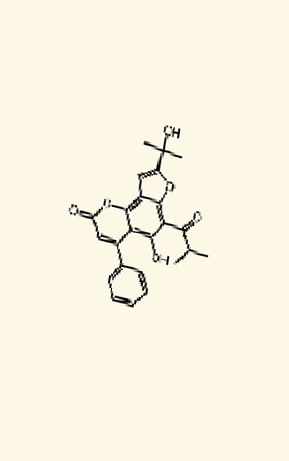 CC(C)C(=O)c1c(O)c2c(-c3ccccc3)cc(=O)oc2c2cc(C(C)(C)O)oc12